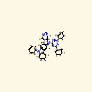 c1ccc(-c2nc(-c3ccccc3)nc(-n3c4cnncc4c4cc5c(cc43)c3ccccc3n5-c3ccccc3)n2)cc1